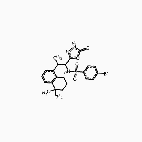 CC(c1cccc2c1CCCC2(C)C)C(NS(=O)(=O)c1ccc(Br)cc1)c1n[nH]c(=S)o1